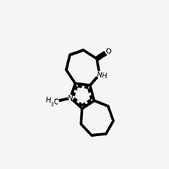 Cn1c2c(c3c1CCCC(=O)N3)CCCCC2